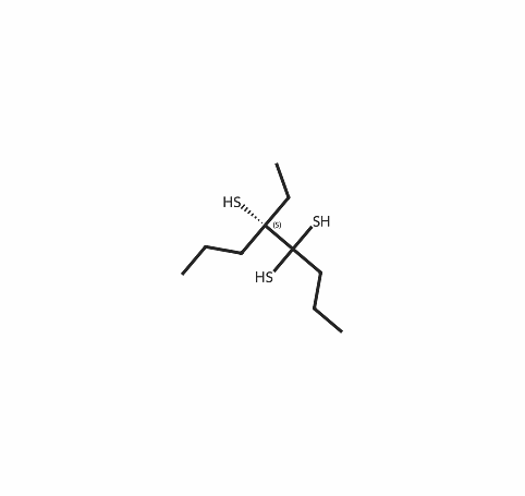 CCCC(S)(S)[C@](S)(CC)CCC